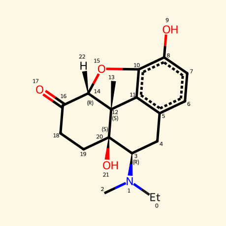 CCN(C)[C@@H]1Cc2ccc(O)c3c2[C@@]2(C)[C@@H](O3)C(=O)CC[C@@]12O